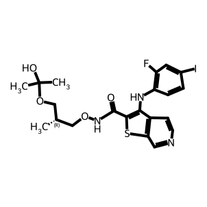 C[C@@H](CONC(=O)c1sc2cnccc2c1Nc1ccc(I)cc1F)COC(C)(C)O